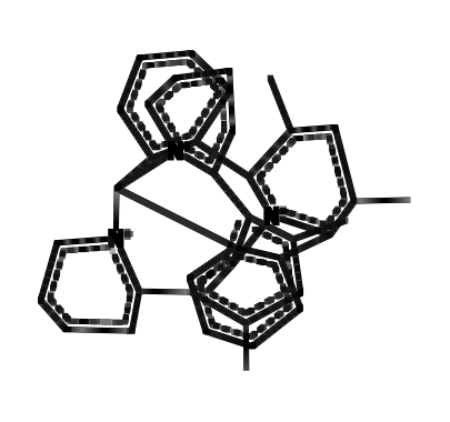 Cc1cc(C)c2c3c1-c1cccc[n+]1C1(c4ccccc4-c4c(C)cc(C)c([n+]4-3)-c3ccccc31)[n+]1ccccc1-2